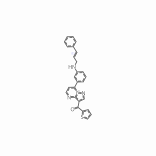 O=C(c1cccs1)c1cnn2c(-c3cccc(NC/C=C/c4ccccc4)c3)ccnc12